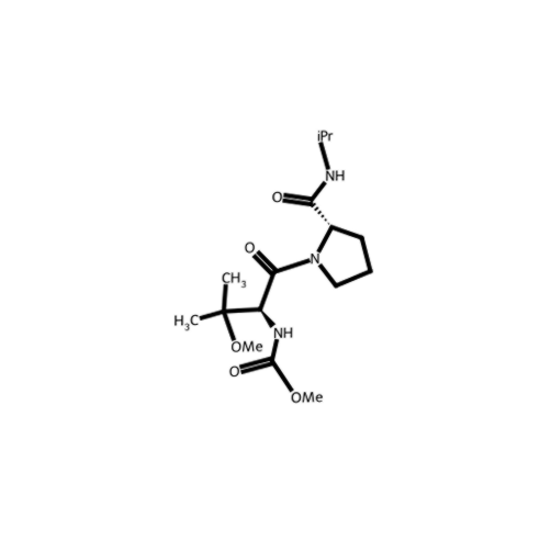 COC(=O)N[C@H](C(=O)N1CCC[C@H]1C(=O)NC(C)C)C(C)(C)OC